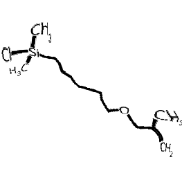 C=C(C)COCCCCCC[Si](C)(C)Cl